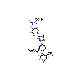 COCc1cc(-c2nc(-c3ccc(CN(C)CC(=O)O)cc3)no2)ccc1-c1ccccc1C(F)(F)F